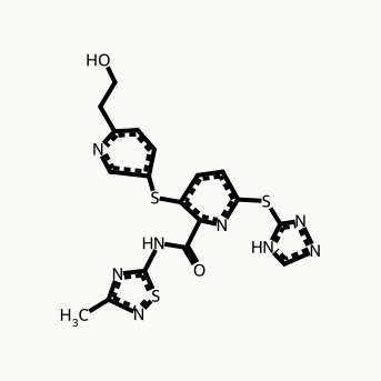 Cc1nsc(NC(=O)c2nc(Sc3nnc[nH]3)ccc2Sc2ccc(CCO)nc2)n1